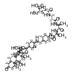 CCCCC(C)SC(CC(=O)O)C(=O)NCCC(=O)N[C@@H](C)C(=O)N[C@@H](C)C(=O)Nc1ccc(CNc2ccc([C@@H]3O[C@@H]4CC5[C@@H]6CCC7=CC(=O)C=C[C@]7(C)C6[C@@H](O)C[C@]5(C)[C@]4(C(=O)CO)O3)cn2)cc1